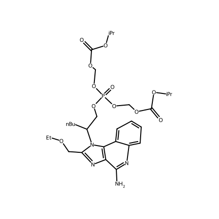 CCCCC(COP(=O)(OCOC(=O)OC(C)C)OCOC(=O)OC(C)C)n1c(COCC)nc2c(N)nc3ccccc3c21